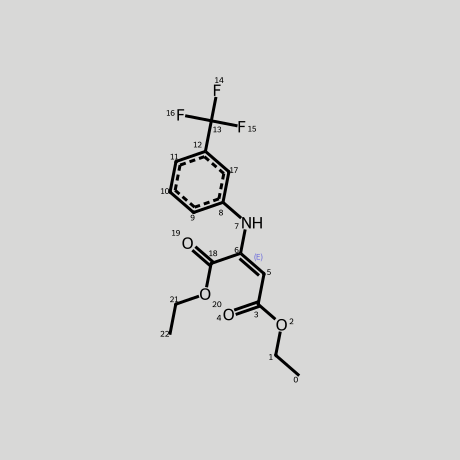 CCOC(=O)/C=C(/Nc1cccc(C(F)(F)F)c1)C(=O)OCC